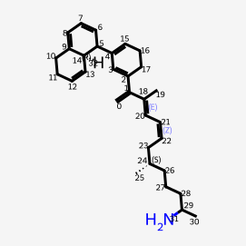 C=C(C1=CC(C2C=CC=C3CCC=C[C@@H]32)=CCC1)/C(C)=C/C=C\C[C@@H](C)CCCC(C)N